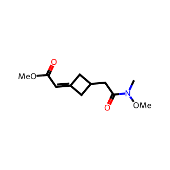 COC(=O)C=C1CC(CC(=O)N(C)OC)C1